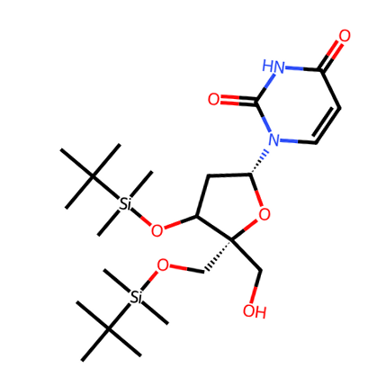 CC(C)(C)[Si](C)(C)OC[C@@]1(CO)O[C@@H](n2ccc(=O)[nH]c2=O)CC1O[Si](C)(C)C(C)(C)C